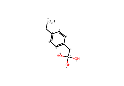 O=S(=O)(O)Cc1ccc(C[Si](O)(O)O)cc1